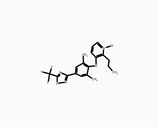 CCCc1c(Oc2c(C)cc(-c3noc(C(F)(F)F)n3)cc2C)ccc[n+]1[O-]